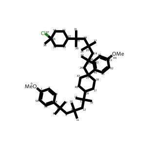 COc1ccc(C(C)(C)CC(C)(C)CC(C)(C)C2CCC(CC(C)(C)CC(C)(C)CC(C)(C)C3CCC(C)(Cl)CC3)(c3ccc(OC)cc3)CC2)cc1